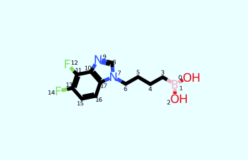 OB(O)CCCCn1cnc2c(F)c(F)ccc21